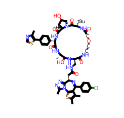 Cc1ncsc1-c1ccc([C@@H]2NC(=O)[C@@H]3C[C@@H](O)CN3C(=O)[C@H](C(C)(C)C)NC(=O)COCCNC(=O)[C@@H](CNC(=O)C[C@@H]3N=C(c4ccc(Cl)cc4)c4c(sc(C)c4C)-n4c(C)nnc43)NC(O)[C@H](C)NC2=O)cc1